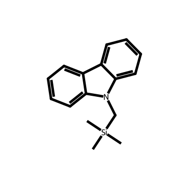 C[Si](C)(C)Cn1c2ccccc2c2ccccc21